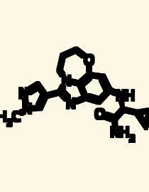 Cn1cc(-c2nc3cc(N[C@H](C(N)=O)C4CC4)cc4c3n2CCCO4)cn1